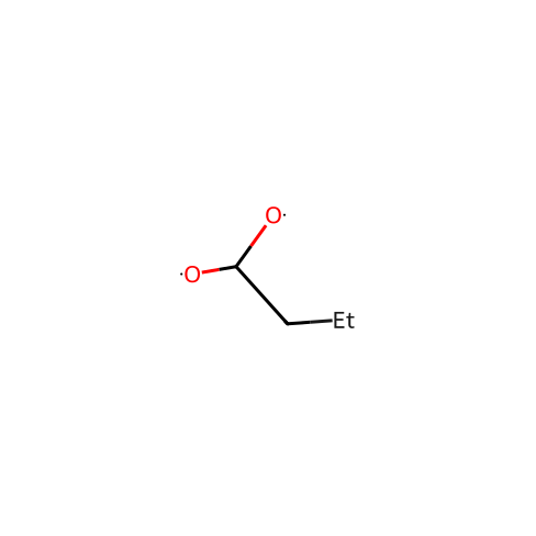 CCCC([O])[O]